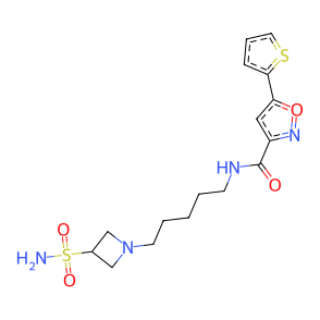 NS(=O)(=O)C1CN(CCCCCNC(=O)c2cc(-c3cccs3)on2)C1